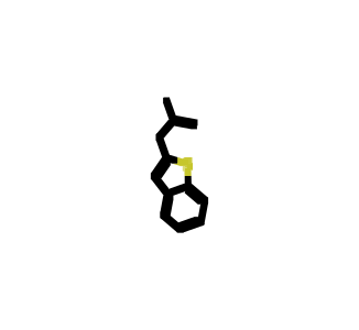 C=C(C)Cc1cc2ccccc2s1